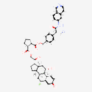 C[C@]12C[C@H](O)[C@@]3(F)[C@@H](C[C@H](F)C4=CC(=O)C=C[C@@]43C)[C@@H]1CC[C@@H]2C(=O)COC(=O)C1CCCC1C(=O)OCc1ccc([C@@H](CN)C(=O)Nc2ccc3cnccc3c2)cc1